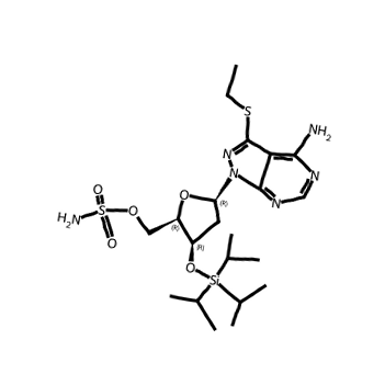 CCSc1nn([C@H]2C[C@@H](O[Si](C(C)C)(C(C)C)C(C)C)[C@@H](COS(N)(=O)=O)O2)c2ncnc(N)c12